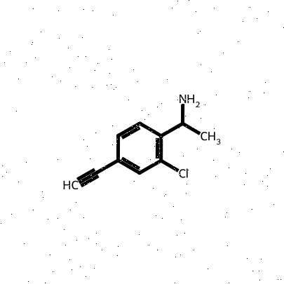 C#Cc1ccc(C(C)N)c(Cl)c1